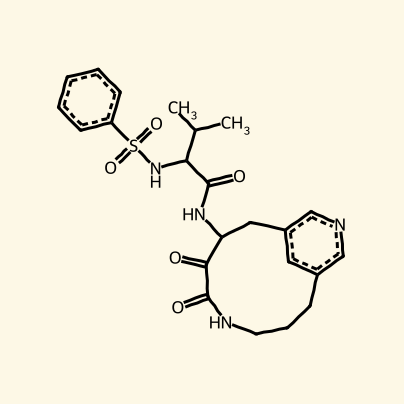 CC(C)C(NS(=O)(=O)c1ccccc1)C(=O)NC1Cc2cncc(c2)CCCNC(=O)C1=O